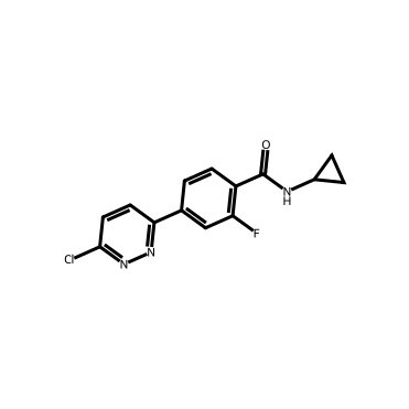 O=C(NC1CC1)c1ccc(-c2ccc(Cl)nn2)cc1F